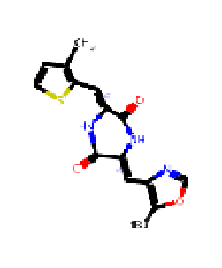 Cc1ccsc1/C=c1\[nH]c(=O)/c(=C/c2ncoc2C(C)(C)C)[nH]c1=O